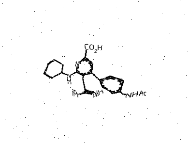 CC(=O)Nc1ccc(-c2cc(C(=O)O)nc(NC3CCCCC3)c2C(=N)C(C)C)cc1